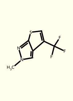 Cn1[c]c2c(C(F)(F)F)csc2n1